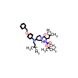 CC(C)CCN(c1ccc(OCc2ccccc2)cc1)C1CCN(C(=O)C(CC(C)C)NC(=O)OC(C)(C)C)CC1